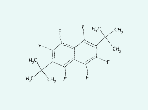 CC(C)(C)c1c(F)c(F)c2c(F)c(C(C)(C)C)c(F)c(F)c2c1F